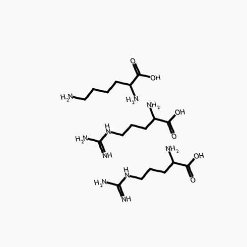 N=C(N)NCCCC(N)C(=O)O.N=C(N)NCCCC(N)C(=O)O.NCCCCC(N)C(=O)O